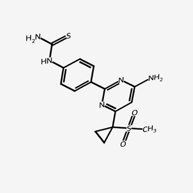 CS(=O)(=O)C1(c2cc(N)nc(-c3ccc(NC(N)=S)cc3)n2)CC1